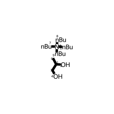 CC(O)CO.CCCC[N+](CCCC)(CCCC)CCCC